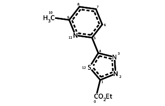 CCOC(=O)c1nnc(-c2cccc(C)n2)s1